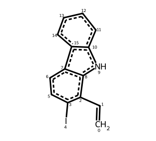 C=Cc1c(I)ccc2c1[nH]c1ccccc12